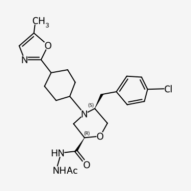 CC(=O)NNC(=O)[C@H]1CN(C2CCC(c3ncc(C)o3)CC2)[C@@H](Cc2ccc(Cl)cc2)CO1